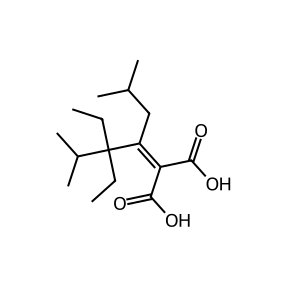 CCC(CC)(C(CC(C)C)=C(C(=O)O)C(=O)O)C(C)C